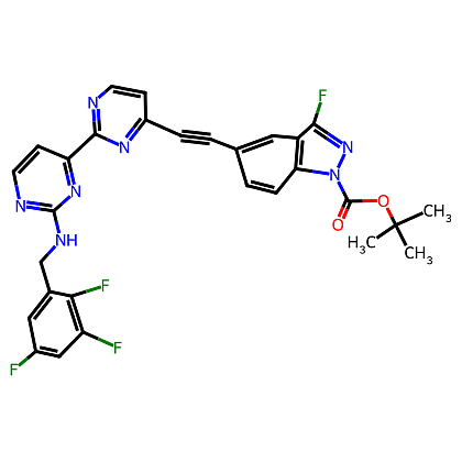 CC(C)(C)OC(=O)n1nc(F)c2cc(C#Cc3ccnc(-c4ccnc(NCc5cc(F)cc(F)c5F)n4)n3)ccc21